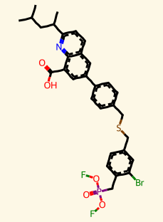 CC(C)CC(C)c1ccc2cc(-c3ccc(CSCc4ccc(CP(=O)(OF)OF)c(Br)c4)cc3)cc(C(=O)O)c2n1